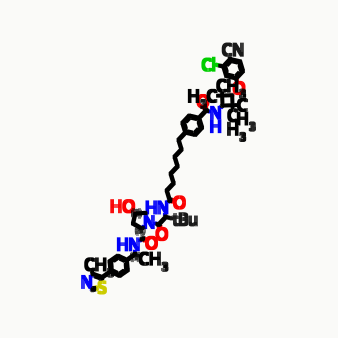 Cc1ncsc1-c1ccc([C@H](C)NC(=O)[C@@H]2C[C@@H](O)CN2C(=O)C(NC(=O)CCCCCCCc2ccc(C(=O)NC3C(C)(C)C(Oc4ccc(C#N)c(Cl)c4)C3(C)C)cc2)C(C)(C)C)cc1